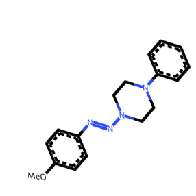 COc1ccc(/N=N/N2CCN(c3ccccc3)CC2)cc1